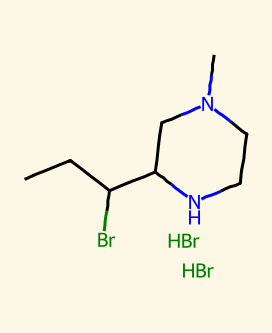 Br.Br.CCC(Br)C1CN(C)CCN1